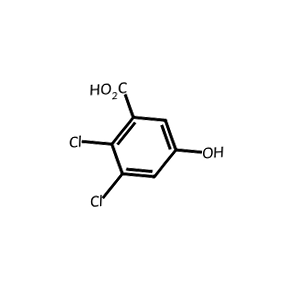 O=C(O)c1cc(O)cc(Cl)c1Cl